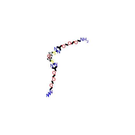 C[Si](C)(CSc1ncc(COCCOCCOCCN)cn1)O[Si](C)(C)CSc1ncc(COCCOCCOCCN=[N+]=[N-])cn1